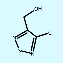 OCc1nsnc1Cl